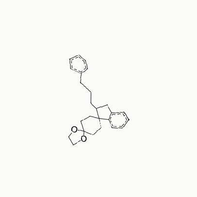 c1ccc(CCCC2Cc3ccccc3C23CCC2(CC3)OCCO2)cc1